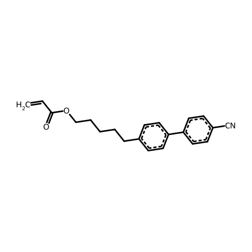 C=CC(=O)OCCCCCc1ccc(-c2ccc(C#N)cc2)cc1